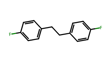 Fc1ccc(CCc2ccc(F)cc2)cc1